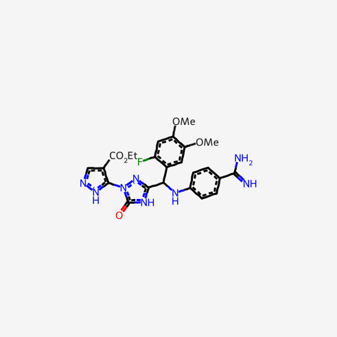 CCOC(=O)c1cn[nH]c1-n1nc(C(Nc2ccc(C(=N)N)cc2)c2cc(OC)c(OC)cc2F)[nH]c1=O